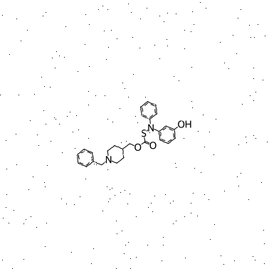 O=C(OCC1CCN(Cc2ccccc2)CC1)SN(c1ccccc1)c1cccc(O)c1